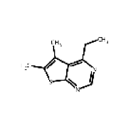 CCc1ncnc2sc(C)c(C)c12